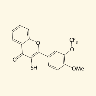 COc1ccc(-c2oc3ccccc3c(=O)c2S)cc1OC(F)(F)F